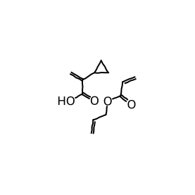 C=C(C(=O)O)C1CC1.C=CCOC(=O)C=C